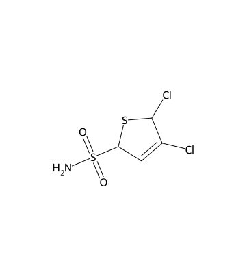 NS(=O)(=O)C1C=C(Cl)C(Cl)S1